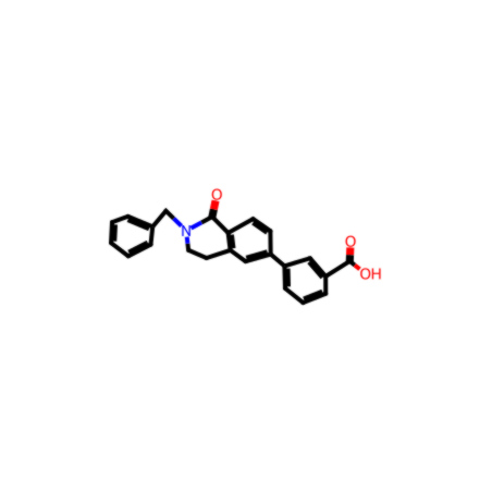 O=C(O)c1cccc(-c2ccc3c(c2)CCN(Cc2ccccc2)C3=O)c1